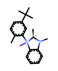 Cc1ccc(C(C)(C)C)cc1[N+]1(I)c2ccccc2N(C)[C@@H]1C